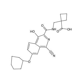 N#Cc1nc(C(=O)NCC2(C(=O)O)CCC2)c(O)c2ccc(OC3CCCCC3)cc12